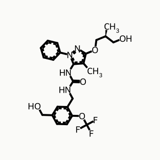 Cc1c(OC[C@@H](C)CO)nn(-c2ccccc2)c1NC(=O)NCc1cc(CO)ccc1OC(F)(F)F